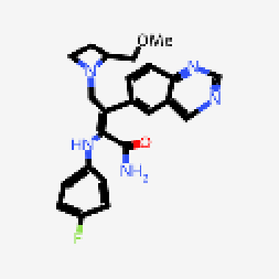 COCC1CCN1C/C(=C(\Nc1ccc(F)cc1)C(N)=O)c1ccc2ncncc2c1